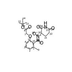 Cc1cccc(OCC(=O)OC(C)(C)C)c1C(=O)[NH+]([O-])C1CCC(=O)NC1=O